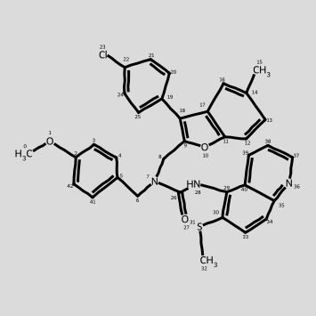 COc1ccc(CN(Cc2oc3ccc(C)cc3c2-c2ccc(Cl)cc2)C(=O)Nc2c(SC)ccc3ncccc23)cc1